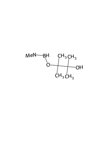 CNBOC(C)(C)C(C)(C)O